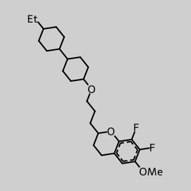 CCC1CCC(C2CCC(OCCCC3CCc4cc(OC)c(F)c(F)c4O3)CC2)CC1